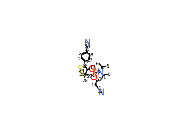 CC(C)N(C(C)C)P(OCCC#N)O[C@H]1[C@@H](c2ccc(C#N)cc2)SSC1(C)C